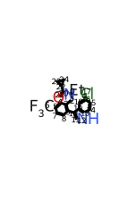 CCN(Cc1cc(C(F)(F)F)ccc1-c1c[nH]c2ccc(Cl)cc12)C(=O)C1CC1